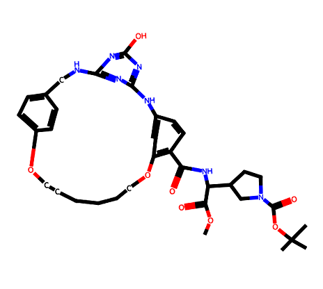 COC(=O)C(NC(=O)c1ccc2cc1OCCCCCCOc1ccc(cc1)CNc1nc(O)nc(n1)N2)C1CCN(C(=O)OC(C)(C)C)C1